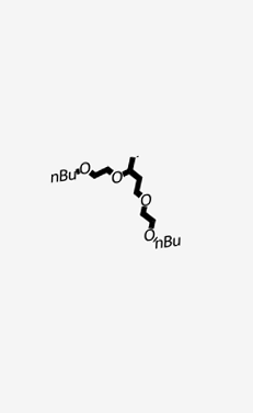 [CH2]C(CCOCCOCCCC)OCCOCCCC